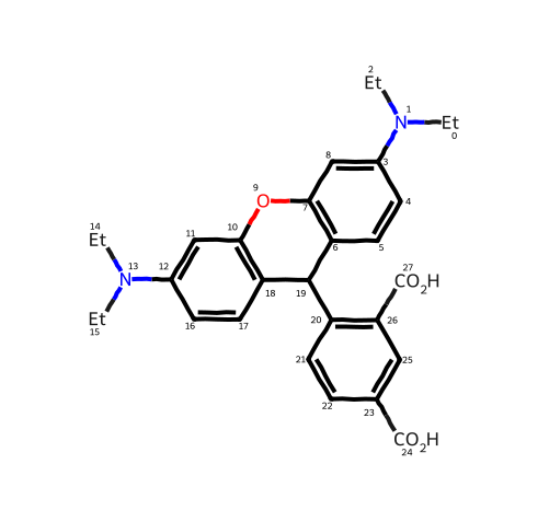 CCN(CC)c1ccc2c(c1)Oc1cc(N(CC)CC)ccc1C2c1ccc(C(=O)O)cc1C(=O)O